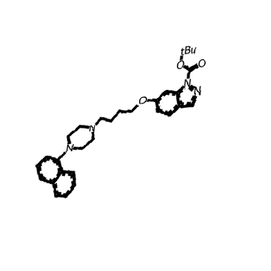 CC(C)(C)OC(=O)n1ncc2ccc(OCCCCN3CCN(c4cccc5ccccc45)CC3)cc21